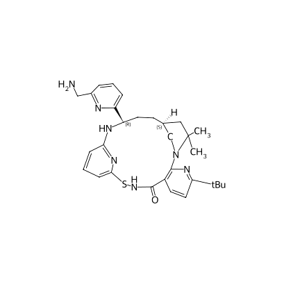 CC(C)(C)c1ccc2c(n1)N1C[C@@H](CC[C@H](c3cccc(CN)n3)Nc3cccc(n3)SNC2=O)CC1(C)C